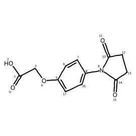 O=C(O)COc1ccc(N2C(=O)CCC2=O)cc1